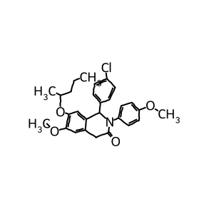 CCCC(C)Oc1cc2c(cc1OC)CC(=O)N(c1ccc(OC)cc1)C2c1ccc(Cl)cc1